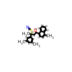 Cc1cc(C)cc(C(C)(CC(=O)c2ccc(C)c3ccccc23)SC#N)c1